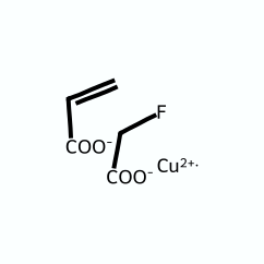 C=CC(=O)[O-].O=C([O-])CF.[Cu+2]